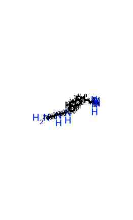 C[C@H](CCCc1nnn[nH]1)[C@H]1CCC2C3CC[C@H]4C[C@@H](NCCCNCCCCN)CC[C@]4(C)C3CC[C@@]21C